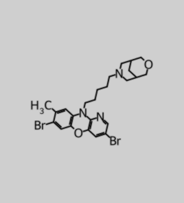 Cc1cc2c(cc1Br)Oc1cc(Br)cnc1N2CCCCCN1CC2COCC(C2)C1